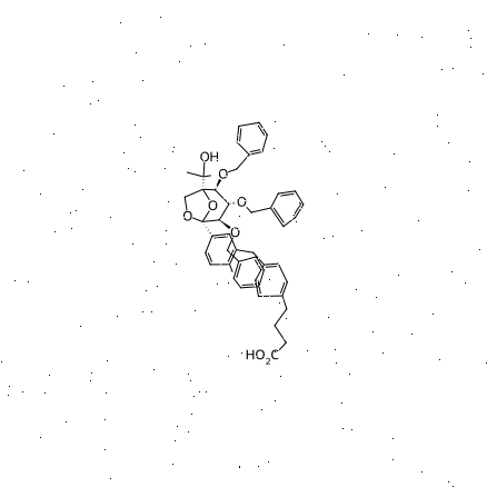 Cc1ccc([C@]23OC[C@](C(C)(C)O)(O2)[C@@H](OCc2ccccc2)[C@H](OCc2ccccc2)[C@H]3OCc2ccccc2)cc1Cc1ccc(CCCC(=O)O)cc1